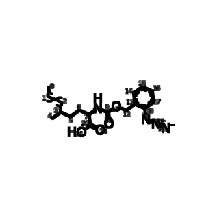 CSSC(C)CCC(NC(=O)OCc1ccccc1N=[N+]=[N-])C(=O)O